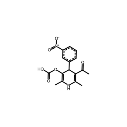 CC(=O)C1=C(C)NC(C)=C(OC(=O)O)C1c1cccc([N+](=O)[O-])c1